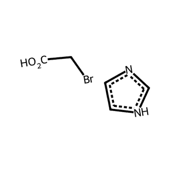 O=C(O)CBr.c1c[nH]cn1